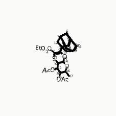 CCOC(=O)C1=C(C23CC4CC(CC(C4)C2)C3)OC2OC(C)C(OC(C)=O)C(OC(C)=O)C2S1